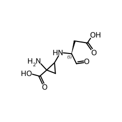 NC1(C(=O)O)CC1N[C@H](C=O)CC(=O)O